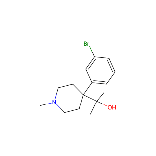 CN1CCC(c2cccc(Br)c2)(C(C)(C)O)CC1